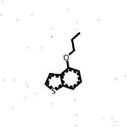 CCCOc1cccc2sccc12